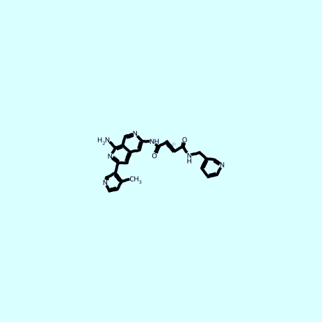 Cc1ccncc1-c1cc2cc(NC(=O)/C=C/C(=O)NCc3cccnc3)ncc2c(N)n1